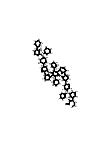 C=Cc1oc2c(N(c3ccccc3)c3ccc(-c4ccc5c6cccc7c8c(-c9ccccc9)c9c(c(-c%10ccccc%10)c8n(c5c4)c67)c4cccc5c6ccc(-c7ccc(N(c8ccccc8)c8cccc%10c8oc8ccccc8%10)cc7)cc6n9c54)cc3)cccc2c1/C=C\C